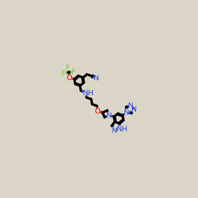 N#CCc1cc(CNCCCCOC2CN(c3cc(-n4cnnc4)cc4[nH]ncc34)C2)cc(OC(F)(F)F)c1